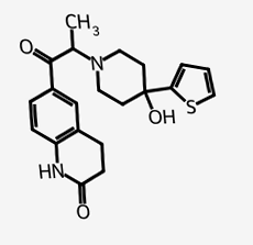 CC(C(=O)c1ccc2c(c1)CCC(=O)N2)N1CCC(O)(c2cccs2)CC1